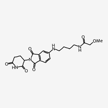 COCC(=O)NCCCCNc1ccc2c(c1)C(=O)N(C1CCC(=O)NC1=O)C2=O